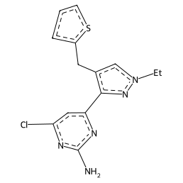 CCn1cc(Cc2cccs2)c(-c2cc(Cl)nc(N)n2)n1